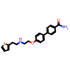 NC(=O)c1ccc(-c2ccc(OCCNCCc3cccs3)cc2)cc1